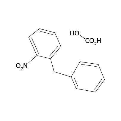 O=C(O)O.O=[N+]([O-])c1ccccc1Cc1ccccc1